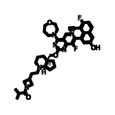 C#Cc1c(F)ccc2cc(O)cc(-c3ncc4c(N5CCCOCC5)nc(OC[C@]56CCC[C@H]5N(CCC5CN(C(=O)C(C)C)C5)CCC6)nc4c3F)c12